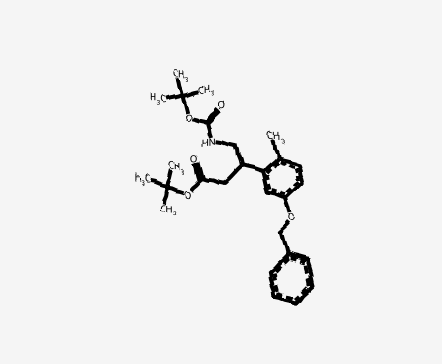 Cc1ccc(OCc2ccccc2)cc1C(CNC(=O)OC(C)(C)C)CC(=O)OC(C)(C)C